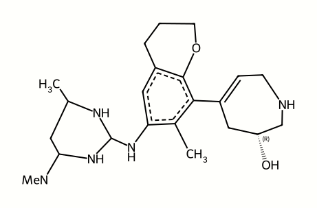 CNC1CC(C)NC(Nc2cc3c(c(C4=CCNC[C@H](O)C4)c2C)OCCC3)N1